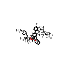 CC(CN1CCN(C)CC1)Oc1nc(N2CC3CCC(C2)N3C(=O)OC(C)(C)C)c2cc(Cl)c(-c3ccc(F)c4sc(NC(=O)OC(C)(C)C)nc34)c(F)c2n1